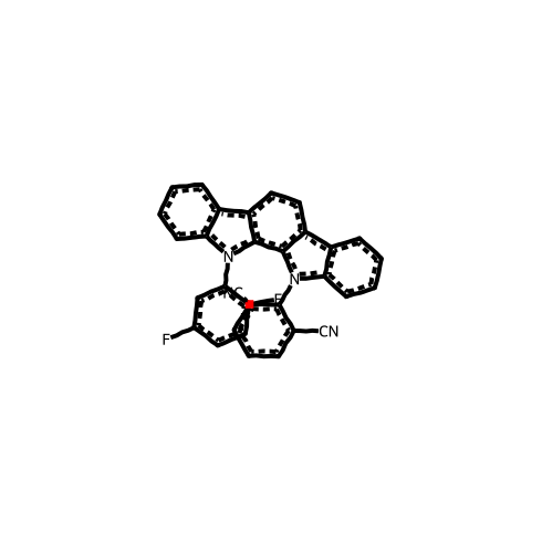 N#Cc1cccc(C#N)c1-n1c2ccccc2c2ccc3c4ccccc4n(-c4cc(F)ccc4F)c3c21